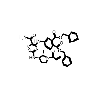 C=CC(=O)N1CC[C@@H](Nc2nnc(C(N)=O)c(Nc3ccc(C(=O)OCc4ccccc4)c(C(=O)OCc4ccccc4)c3)n2)[C@H]1C